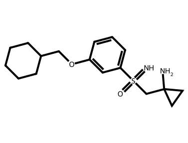 N=S(=O)(CC1(N)CC1)c1cccc(OCC2CCCCC2)c1